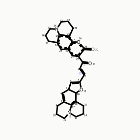 O=C(/C=C/C1=CC2C=C3CCCN4CCCC(=C34)C2O1)c1cc2cc3c4c(c2oc1=O)CCCN4CCC3